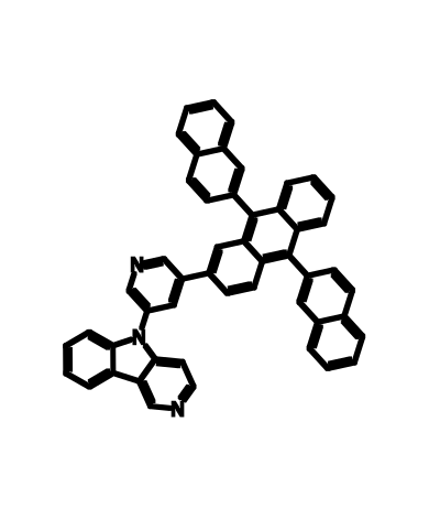 c1ccc2cc(-c3c4ccccc4c(-c4ccc5ccccc5c4)c4cc(-c5cncc(-n6c7ccccc7c7cnccc76)c5)ccc34)ccc2c1